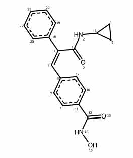 O=C(NC1CC1)C(=Cc1ccc(C(=O)NO)cc1)c1ccccc1